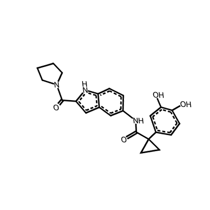 O=C(c1cc2cc(NC(=O)C3(c4ccc(O)c(O)c4)CC3)ccc2[nH]1)N1CCCC1